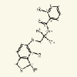 CC(C#N)(COc1ccc2c(c1Cl)B(O)OC2)NC(=O)c1ccccc1C#N